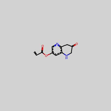 C=CC(=O)Oc1cnc2c(c1)NCC(=O)C2